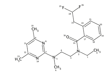 CCN(CCN(C)c1nc(C)cc(C)n1)C(=O)c1ccccc1CC(F)F